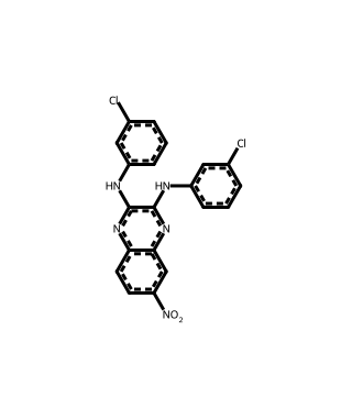 O=[N+]([O-])c1ccc2nc(Nc3cccc(Cl)c3)c(Nc3cccc(Cl)c3)nc2c1